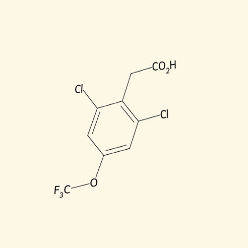 O=C(O)Cc1c(Cl)cc(OC(F)(F)F)cc1Cl